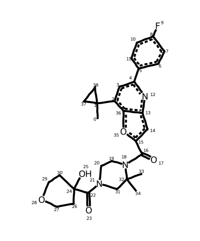 CC1(c2cc(-c3ccc(F)cc3)nc3cc(C(=O)N4CCN(C(=O)C5(O)CCOCC5)CC4(C)C)oc23)CC1